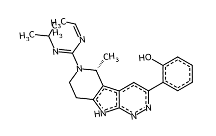 C/C=N\C(=N/C(C)C)N1CCc2[nH]c3nnc(-c4ccccc4O)cc3c2[C@H]1C